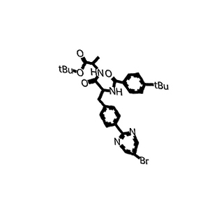 CC(NC(=O)C(Cc1ccc(-c2ncc(Br)cn2)cc1)NC(=O)c1ccc(C(C)(C)C)cc1)C(=O)OC(C)(C)C